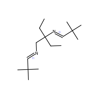 CCC(CC)(C/N=C/C(C)(C)C)/N=C/C(C)(C)C